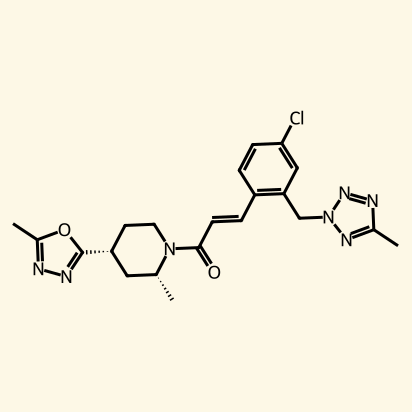 Cc1nnn(Cc2cc(Cl)ccc2/C=C/C(=O)N2CC[C@@H](c3nnc(C)o3)C[C@H]2C)n1